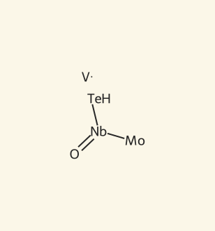 [O]=[Nb]([Mo])[TeH].[V]